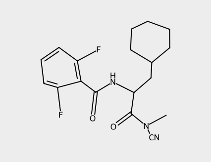 CN(C#N)C(=O)C(CC1CCCCC1)NC(=O)c1c(F)cccc1F